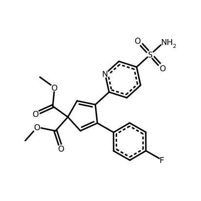 COC(=O)C1(C(=O)OC)C=C(c2ccc(F)cc2)C(c2ccc(S(N)(=O)=O)cn2)=C1